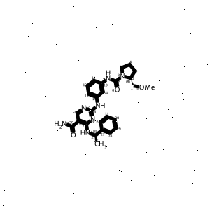 COC[C@H]1CCCN1C(=O)Nc1cccc(Nc2ncc(C(N)=O)c(N[C@H](C)c3ccccc3)n2)c1